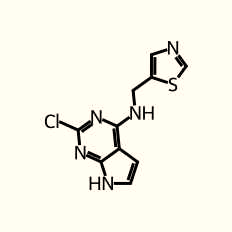 Clc1nc(NCc2cncs2)c2cc[nH]c2n1